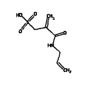 C=CCNC(=O)C(=C)CS(=O)(=O)O